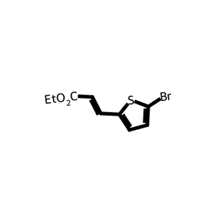 CCOC(=O)C=Cc1ccc(Br)s1